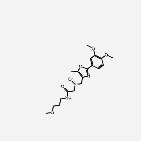 COCCCNC(=O)C[S+]([O-])Cc1nc(-c2ccc(OC)c(OC)c2)oc1C